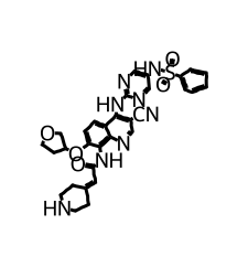 N#Cc1cnc2c(NC(=O)C=C3CCNCC3)c(OC3CCOC3)ccc2c1Nc1ncc(NS(=O)(=O)c2ccccc2)cn1